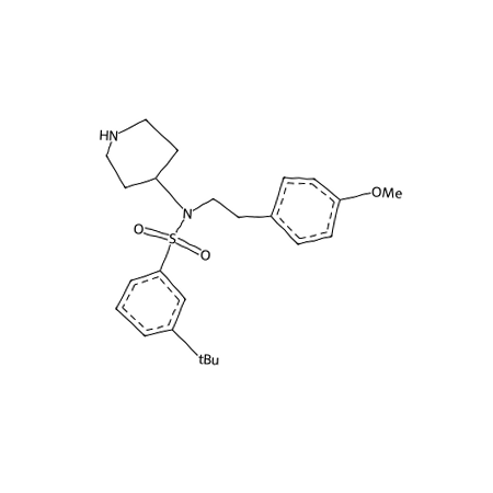 COc1ccc(CCN(C2CCNCC2)S(=O)(=O)c2cccc(C(C)(C)C)c2)cc1